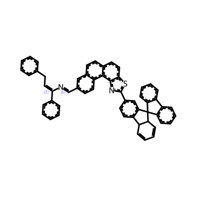 C1=CC2c3ccc(-c4nc5c(ccc6ccc7cc(/C=N/C(=C\Cc8ccccc8)c8ccccc8)ccc7c65)s4)cc3C3(c4ccccc4-c4ccccc43)C2C=C1